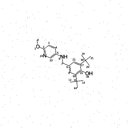 COc1ccc(NCc2cc(C(C)(C)C)c(O)c(C(C)(C)C)c2)cn1